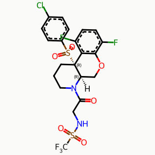 O=C(CNS(=O)(=O)C(F)(F)F)N1CCC[C@@]2(S(=O)(=O)c3ccc(Cl)cc3)c3c(F)ccc(F)c3OC[C@@H]12